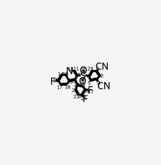 N#Cc1cc(C#N)cc(S(=O)(=O)c2cnc3cc(F)ccc3c2-c2ccc(F)c(F)c2)c1